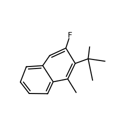 Cc1c(C(C)(C)C)c(F)cc2ccccc12